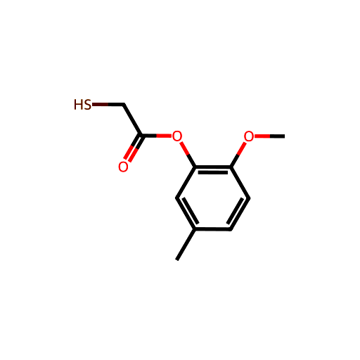 COc1ccc(C)cc1OC(=O)CS